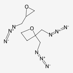 [N-]=[N+]=NCC1(CN=[N+]=[N-])CCO1.[N-]=[N+]=NCC1CO1